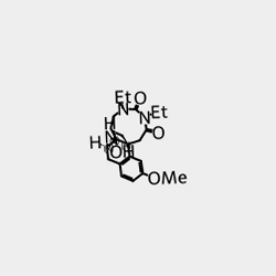 CCN1CC[C@@]2(O)[C@H]3Cc4ccc(OC)cc4[C@@]2(CCN3)CC(=O)N(CC)C1=O